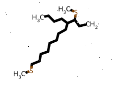 [CH2]CC(SC)C(CCCC)CCCCCCCCSC